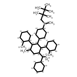 CB(CC(C)(C)C(C)(C)C)C1CCC(C2C(C3CCCCC3C)C(C)CC(C(C)C3CCCCC3)C2C2CCCCC2C)CC1